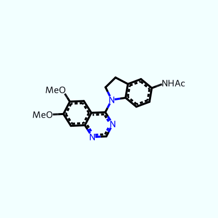 COc1cc2ncnc(N3CCc4cc(NC(C)=O)ccc43)c2cc1OC